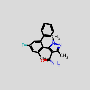 Cc1cc(F)cc(-c2ccccc2)c1-c1c(C(N)=O)c(C)nn1C